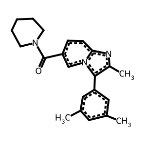 Cc1cc(C)cc(-c2c(C)nc3ccc(C(=O)N4CCCCC4)cn23)c1